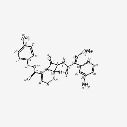 CON=C(C(=O)NC1C(=O)N2C(C(=O)OCc3ccc([N+](=O)[O-])cc3)=CCS[C@@H]12)c1cc(N)ccn1